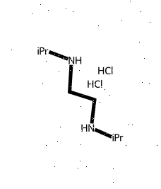 CC(C)NCCNC(C)C.Cl.Cl